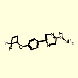 NNc1cnc(-c2ccc(OC3CCC3(F)F)cc2)cn1